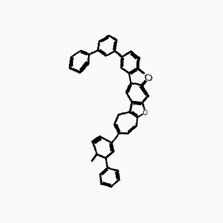 CC1C=CC(C2=CCc3c(oc4cc5oc6ccc(-c7cccc(-c8ccccc8)c7)cc6c5cc34)C=C2)=CC1c1ccccc1